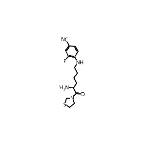 N#Cc1ccc(NCCCC[C@H](N)C(=O)N2CCSC2)c(F)c1